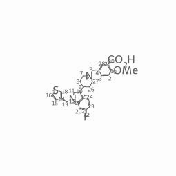 COc1ccc(CN2CCC(C3CN(Cc4ccsc4)c4cc(F)ccc43)CC2)cc1C(=O)O